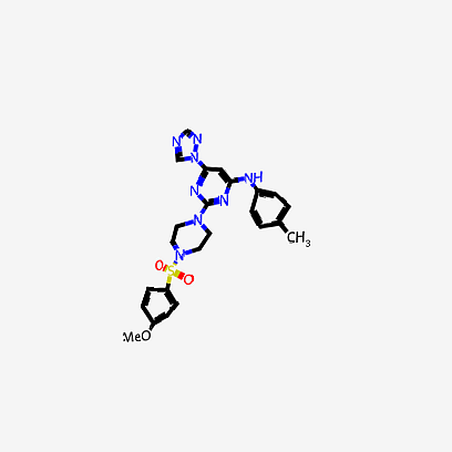 COc1ccc(S(=O)(=O)N2CCN(c3nc(Nc4ccc(C)cc4)cc(-n4cncn4)n3)CC2)cc1